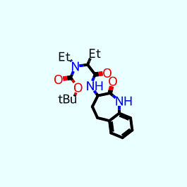 CCC(C(=O)NC1CCc2ccccc2NC1=O)N(CC)C(=O)OC(C)(C)C